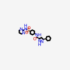 O=C(Nc1ccc(S(=O)(=O)Nc2ncccn2)cc1)c1cc(-c2ccccc2)n[nH]1